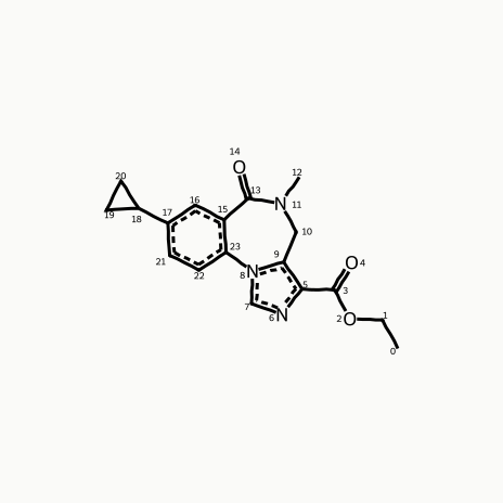 CCOC(=O)c1ncn2c1CN(C)C(=O)c1cc(C3CC3)ccc1-2